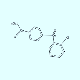 CCCCCCC[CH2][Co](=[O])[c]1cc[c]([Co](=[O])[c]2ccccc2Cl)cc1